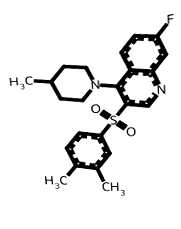 Cc1ccc(S(=O)(=O)c2cnc3cc(F)ccc3c2N2CCC(C)CC2)cc1C